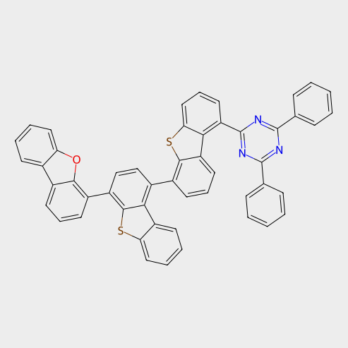 c1ccc(-c2nc(-c3ccccc3)nc(-c3cccc4sc5c(-c6ccc(-c7cccc8c7oc7ccccc78)c7sc8ccccc8c67)cccc5c34)n2)cc1